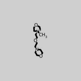 C[N+]1(CCOCCN2CCOCC2)CCOCC1